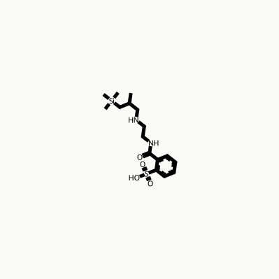 CC(CNCCNC(=O)c1ccccc1S(=O)(=O)O)C[Si](C)(C)C